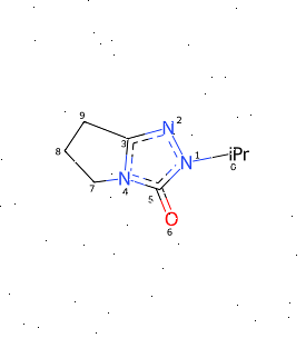 CC(C)n1nc2n(c1=O)CCC2